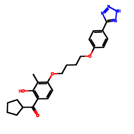 Cc1c(OCCCCOc2ccc(-c3nn[nH]n3)cc2)ccc(C(=O)C2CCCC2)c1O